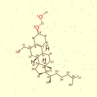 COCO[C@H]1CCC2=C(C1)C(CI)C[C@@H]1[C@@H]2CC[C@]2(C)[C@@H]([C@H](C)CCCC(C)C)CC[C@@H]12